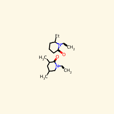 C=CN1C(=O)CCCC1CC.C=CN1CC(C)CC(C)C1=O